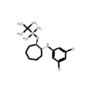 CC(C)(C)[Si](C)(C)O[C@@H]1CCCCC[C@H]1Nc1cc(Cl)cc(Cl)c1